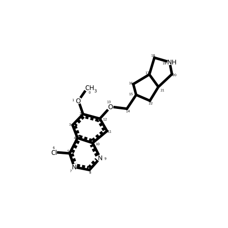 COc1cc2c(Cl)ncnc2cc1OCC1CC2CNCC2C1